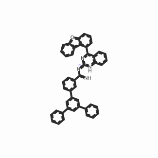 N=C(/N=c1/nc(-c2cccc3oc4ccccc4c23)c2ccccc2[nH]1)c1cccc(-c2cc(-c3ccccc3)cc(-c3ccccc3)c2)c1